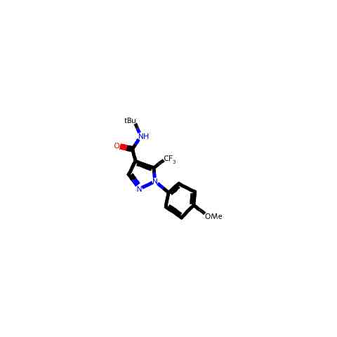 COc1ccc(-n2ncc(C(=O)NC(C)(C)C)c2C(F)(F)F)cc1